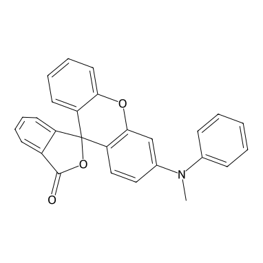 CN(c1ccccc1)c1ccc2c(c1)Oc1ccccc1C21OC(=O)c2ccccc21